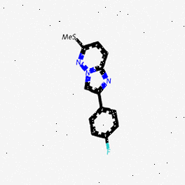 CSc1ccc2nc(-c3ccc(F)cc3)cn2n1